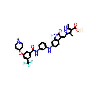 Cc1[nH]c(C=C2C(=O)Nc3cc(Nc4cccc(NC(=O)c5cc(OC6CCN(C)CC6)cc(C(F)(F)F)c5)c4)ccc32)c(C)c1C(=O)O